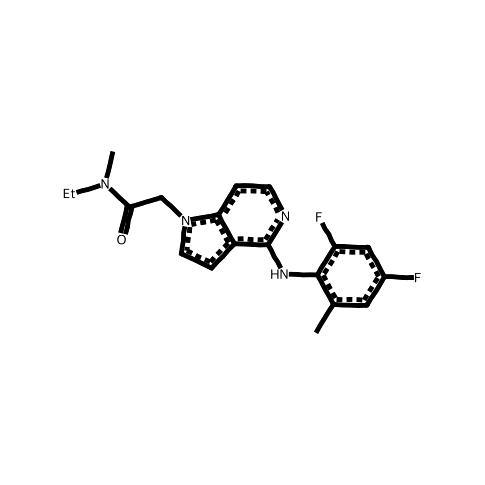 CCN(C)C(=O)Cn1ccc2c(Nc3c(C)cc(F)cc3F)nccc21